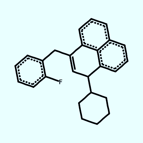 Fc1ccccc1CC1=CC(C2CCCCC2)c2cccc3cccc1c23